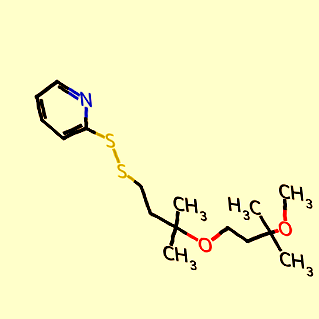 COC(C)(C)CCOC(C)(C)CCSSc1ccccn1